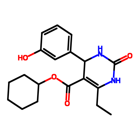 CCC1=C(C(=O)OC2CCCCC2)C(c2cccc(O)c2)NC(=O)N1